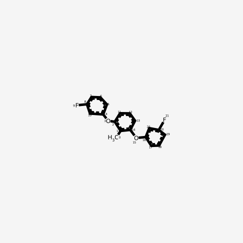 Cc1c(Oc2cccc(F)c2)cccc1Oc1cccc(F)c1